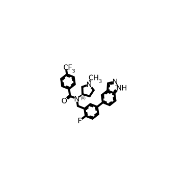 CN1CC[C@@H](N(Cc2cc(-c3ccc4[nH]ncc4c3)ccc2F)C(=O)c2ccc(C(F)(F)F)cc2)C1